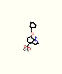 COC(=O)c1ccc(OCc2ccccc2)c2[nH]ccc12